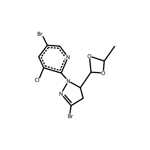 CC1OC(C2CC(Br)=NN2c2ncc(Br)cc2Cl)O1